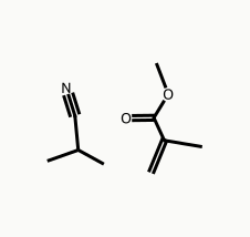 C=C(C)C(=O)OC.CC(C)C#N